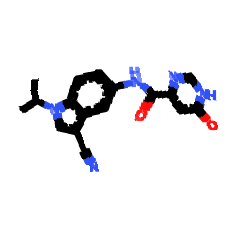 CC(C)n1cc(C#N)c2cc(NC(=O)c3cc(=O)[nH]cn3)ccc21